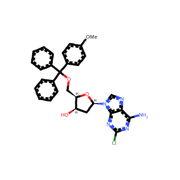 COc1ccc(C(OC[C@H]2O[C@@H](n3cnc4c(N)nc(Cl)nc43)C[C@H]2O)(c2ccccc2)c2ccccc2)cc1